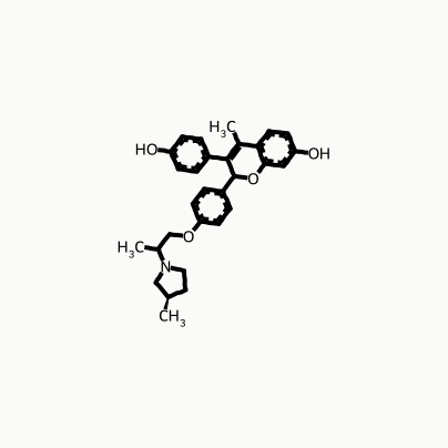 CC1=C(c2ccc(O)cc2)C(c2ccc(OCC(C)N3CC[C@@H](C)C3)cc2)Oc2cc(O)ccc21